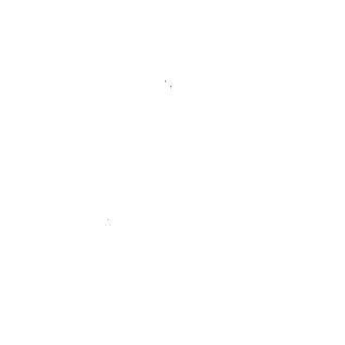 C[As](C)CCC(Oc1ccccc1)c1cccc(C#CCCN2CCCCC2)c1